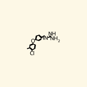 Cc1cc(Oc2ccc(CNC(=N)N)cc2)ccc1Cl